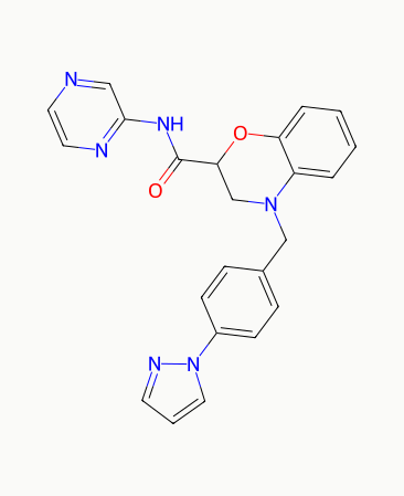 O=C(Nc1cnccn1)C1CN(Cc2ccc(-n3cccn3)cc2)c2ccccc2O1